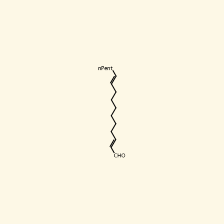 CCCCCC=CCCCCCC/C=C/C=O